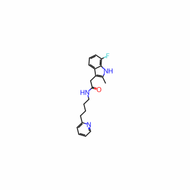 Cc1[nH]c2c(F)cccc2c1CC(=O)NCCCCc1ccccn1